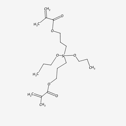 C=C(C)C(=O)OCCC[Si](CCCOC(=O)C(=C)C)(OCCC)OCCC